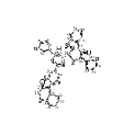 c1ccc(C2N=C(c3ccc4c(c3)oc3ccc5ccccc5c34)N=C(c3cc4c5ccccc5oc4c4c3sc3ccccc34)N2)cc1